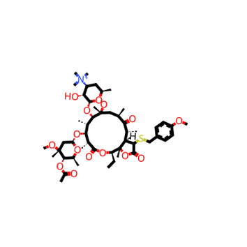 CC[C@H]1OC(=O)[C@H](C)[C@@H](O[C@H]2C[C@@](C)(OC)[C@@H](OC(C)=O)[C@H](C)O2)[C@H](C)[C@@H](O[C@@H]2O[C@H](C)C[C@H]([N+](C)(C)C)[C@H]2O)[C@](C)(OC)C[C@@H](C)C(=O)[C@H](C)[C@H]2C(SCc3ccc(OC)cc3)C(=O)O[C@@]21C